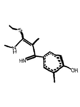 CN/C(SC)=C(/C)C(=N)c1ccc(O)c(C)c1